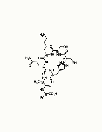 CC(C)[C@H](NC(=O)[C@H](C)NC(=O)[C@H](Cc1c[nH]cn1)NC(=O)[C@H](CCC(N)=O)NC(=O)[C@H](CCCCN)NC(=O)[C@H](CO)NC(=O)[C@@H](N)CS)C(=O)O